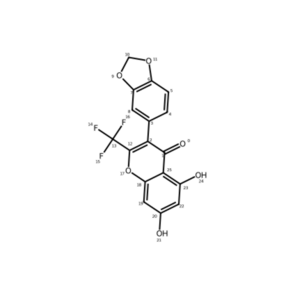 O=c1c(-c2ccc3c(c2)OCO3)c(C(F)(F)F)oc2cc(O)cc(O)c12